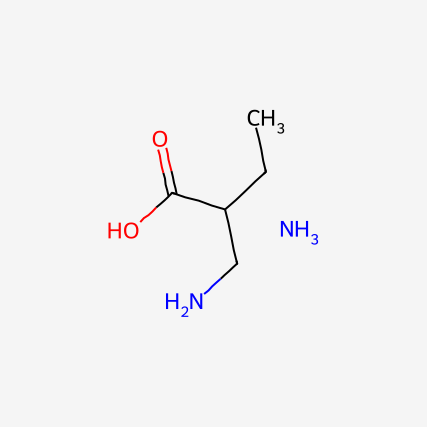 CCC(CN)C(=O)O.N